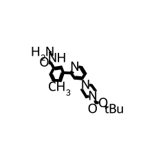 Cc1cc(C(=O)NN)cc(-c2cc(N3CCN(C(=O)OC(C)(C)C)CC3)ccn2)c1